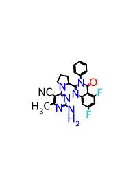 Cc1nc(N)nc(N2CCCC2c2nc3cc(F)cc(F)c3c(=O)n2-c2ccccc2)c1C#N